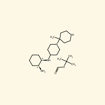 CC(C)(C)OC=O.CC1(N2CCC(N[C@@H]3CCCC[C@@H]3N)CC2)CCNCC1